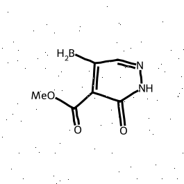 Bc1cn[nH]c(=O)c1C(=O)OC